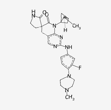 C[C@@H]1C2CC1(N1C(=O)C3(CCNC3=O)Cc3cnc(Nc4ccc(N5CCN(C)CC5)c(F)c4)nc31)C2